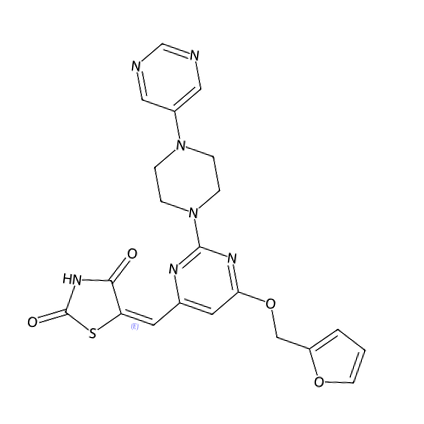 O=C1NC(=O)/C(=C\c2cc(OCc3ccco3)nc(N3CCN(c4cncnc4)CC3)n2)S1